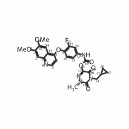 COc1cc2nccc(Oc3ccc(NC(=O)Oc4nn(C)c(=O)n(CC5CC5)c4=O)cc3F)c2cc1OC